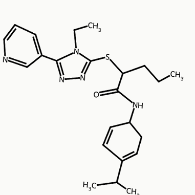 CCCC(Sc1nnc(-c2cccnc2)n1CC)C(=O)NC1C=CC(C(C)C)=CC1